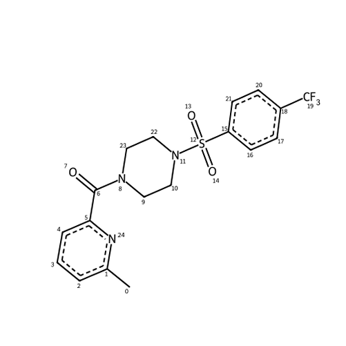 Cc1cccc(C(=O)N2CCN(S(=O)(=O)c3ccc(C(F)(F)F)cc3)CC2)n1